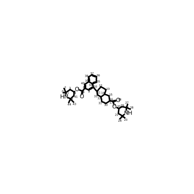 CC1(C)CC(OC(=O)c2cc(C3CCC4CC(C(=O)OC5CC(C)(C)NC(C)(C)C5)CCC4C3)c3ccccc3c2)CC(C)(C)N1